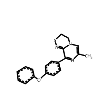 CC1=CN2CCSN=C2C(c2ccc(Oc3ccccc3)cc2)=N1